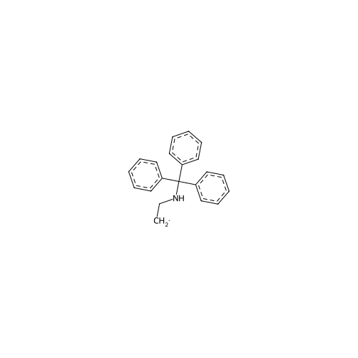 [CH2]CNC(c1ccccc1)(c1ccccc1)c1ccccc1